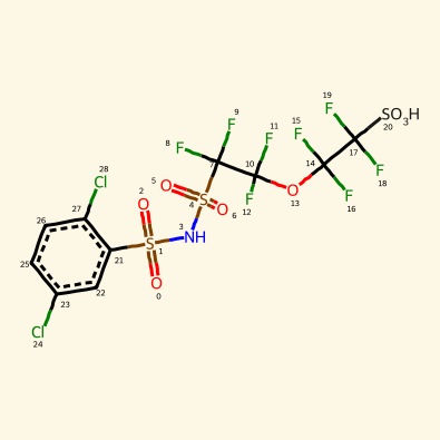 O=S(=O)(NS(=O)(=O)C(F)(F)C(F)(F)OC(F)(F)C(F)(F)S(=O)(=O)O)c1cc(Cl)ccc1Cl